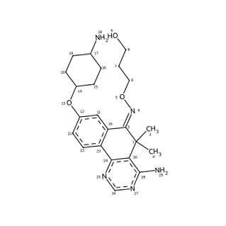 CC1(C)/C(=N/OCCCO)c2cc(OC3CCC(N)CC3)ccc2-c2ncnc(N)c21